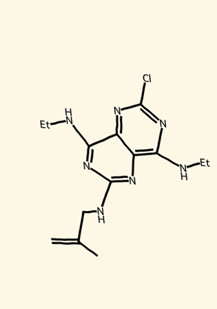 C=C(C)CNc1nc(NCC)c2nc(Cl)nc(NCC)c2n1